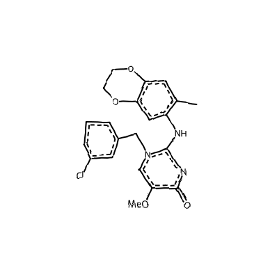 COc1cn(Cc2cccc(Cl)c2)c(Nc2cc3c(cc2C)OCCO3)nc1=O